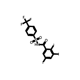 O=C(NS(=O)(=O)c1ccc(C(F)(F)F)cc1)c1cc(I)cc(I)c1I